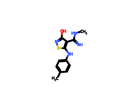 CNC(=N)c1c(O)nsc1Nc1ccc(C)cc1